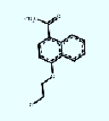 CCOC(=O)C(=O)c1ccc(OCCCl)c2ccccc12